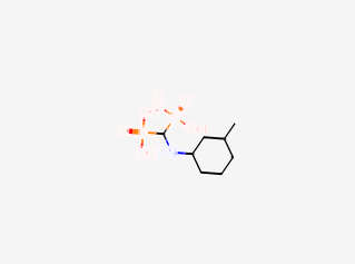 CC1CCCC(NC(P(=O)(O)O)P(=O)(O)O)C1